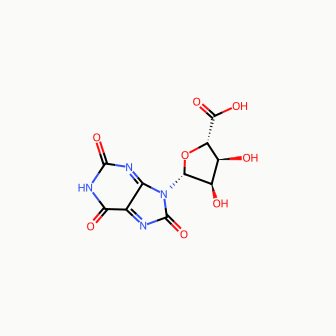 O=C1N=C2C(=NC(=O)N2[C@@H]2O[C@H](C(=O)O)[C@@H](O)[C@H]2O)C(=O)N1